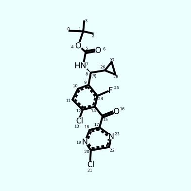 CC(C)(C)OC(=O)N[C@@H](c1ccc(Cl)c(C(=O)c2cnc(Cl)cn2)c1F)C1CC1